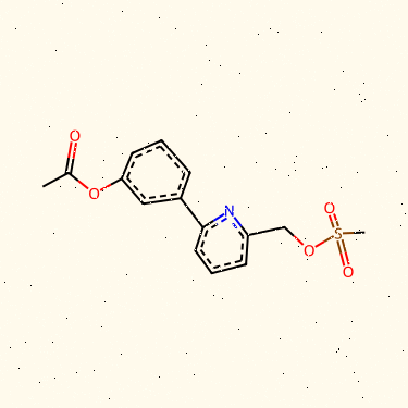 CC(=O)Oc1cccc(-c2cccc(COS(C)(=O)=O)n2)c1